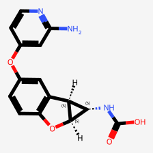 Nc1cc(Oc2ccc3c(c2)[C@H]2[C@H](NC(=O)O)[C@H]2O3)ccn1